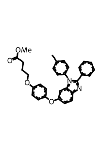 COC(=O)CCCOc1ccc(Oc2ccc3nc(-c4ccccc4)n(-c4ccc(C)cc4)c3c2)cc1